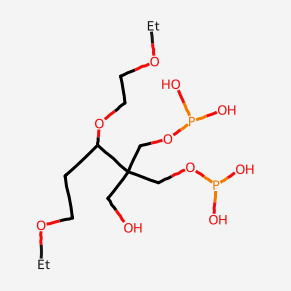 CCOCCOC(CCOCC)C(CO)(COP(O)O)COP(O)O